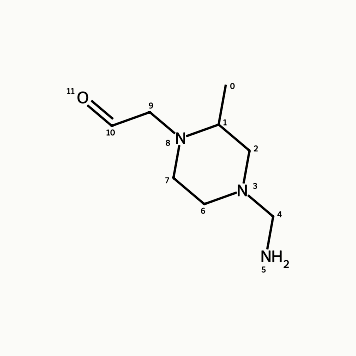 CC1CN(CN)CCN1CC=O